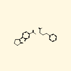 O=C(C[C@@H](CCc1ccccc1)C(=O)O)c1ccc2c3c(oc2c1)CCC3